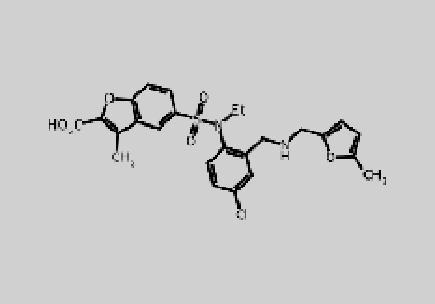 CCN(c1ccc(Cl)cc1CNCc1ccc(C)o1)S(=O)(=O)c1ccc2oc(C(=O)O)c(C)c2c1